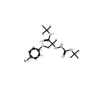 CC(C)(C)OC(=O)NOC(C)(COc1ccc(Br)cc1)C(=O)OC(C)(C)C